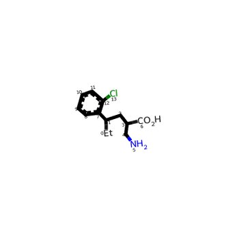 CCC(CC(CN)C(=O)O)c1ccccc1Cl